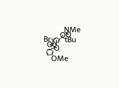 CNC(=O)OC(c1cc(Br)n(S(=O)(=O)c2cccc(OC)c2)c1)C(C)(C)C